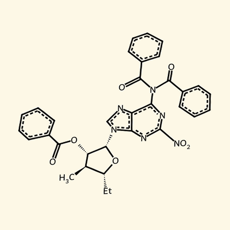 CC[C@H]1O[C@@H](n2cnc3c(N(C(=O)c4ccccc4)C(=O)c4ccccc4)nc([N+](=O)[O-])nc32)[C@@H](OC(=O)c2ccccc2)[C@@H]1C